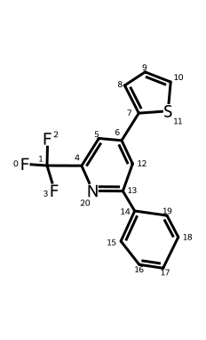 FC(F)(F)c1cc(-c2cccs2)cc(-c2ccccc2)n1